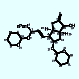 C=C1C[C@@H]2[C@H](C=C[C@H](CCCCC)OC3CCCCO3)[C@H](OC3CCCCO3)C[C@@H]2C1O